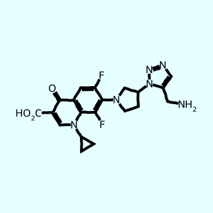 NCc1cnnn1C1CCN(c2c(F)cc3c(=O)c(C(=O)O)cn(C4CC4)c3c2F)C1